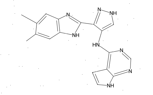 Cc1cc2nc(-c3n[nH]cc3Nc3ncnc4[nH]ccc34)[nH]c2cc1C